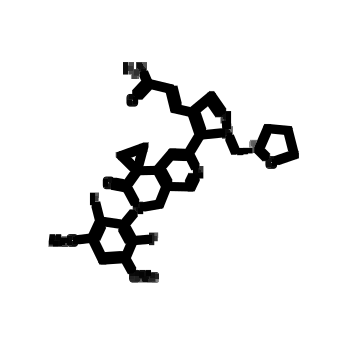 COc1cc(OC)c(F)c(N2Cc3cnc(-c4c(C=CC(N)=O)cnn4C[C@@H]4CCCO4)cc3C3(CC3)C2=O)c1F